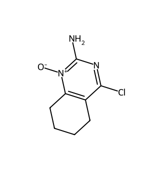 Nc1nc(Cl)c2c([n+]1[O-])CCCC2